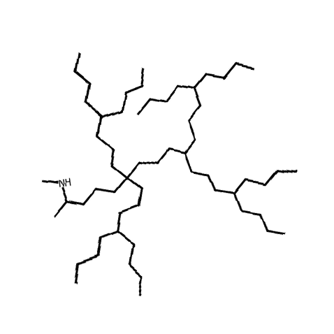 CCCCC(CCCC)CCCC(CCCC(CCCC)CCCC)CCCC(CCCC(CCCC)CCCC)(CCCC(CCCC)CCCC)CCCC(C)NC